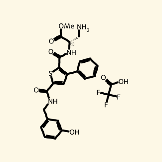 COC(=O)[C@H](CN)NC(=O)c1sc(C(=O)NCc2cccc(O)c2)cc1-c1ccccc1.O=C(O)C(F)(F)F